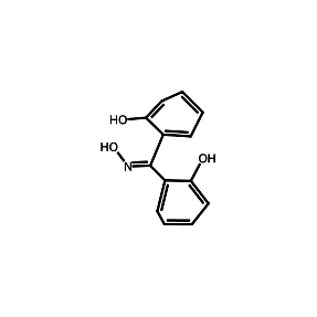 ON=C(c1ccccc1O)c1ccccc1O